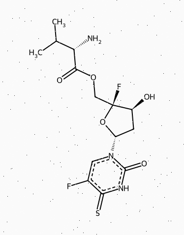 CC(C)[C@H](N)C(=O)OC[C@@]1(F)O[C@@H](n2cc(F)c(=S)[nH]c2=O)C[C@@H]1O